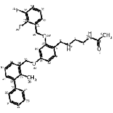 CC(=O)NCCNCc1ccc(OCc2cccc(-c3ccccc3)c2C)cc1OCc1cccc(F)c1F